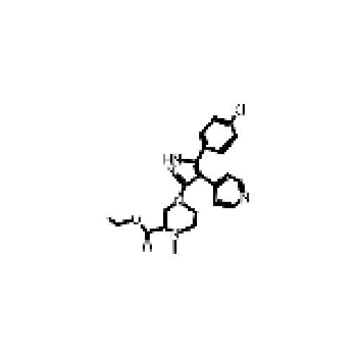 CCOC(=O)C1CN(c2n[nH]c(-c3ccc(Cl)cc3)c2-c2ccncc2)CCN1C